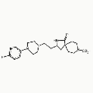 O=C(O)N1CCC2(CC1)CC(CCN1CCN(c3ccc(F)cc3)CC1)NC2=O